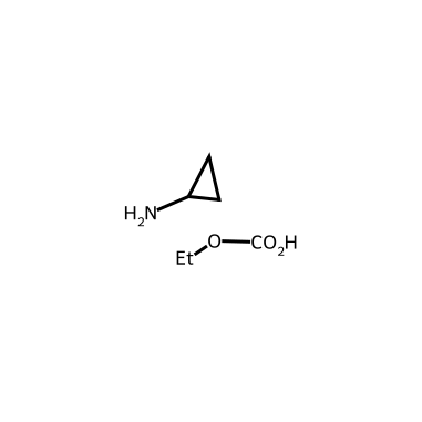 CCOC(=O)O.NC1CC1